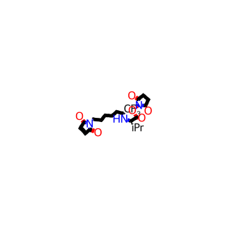 CC(C)[C@H](NC(CCCCCN1C(=O)C=CC1=O)C(F)(F)F)C(=O)ON1C(=O)CCC1=O